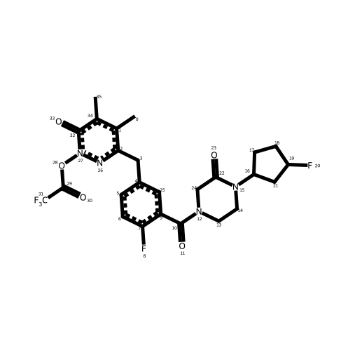 Cc1c(Cc2ccc(F)c(C(=O)N3CCN(C4CCC(F)C4)C(=O)C3)c2)nn(OC(=O)C(F)(F)F)c(=O)c1C